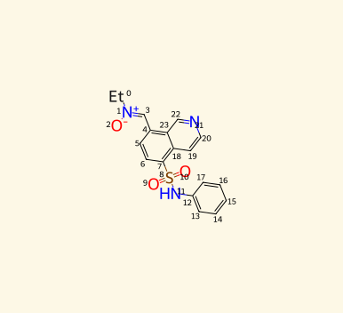 CC/[N+]([O-])=C/c1ccc(S(=O)(=O)Nc2ccccc2)c2ccncc12